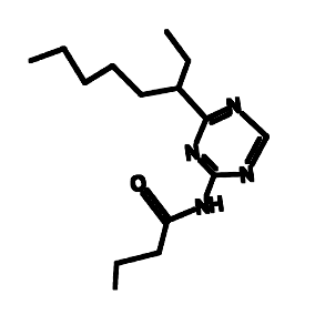 CCCCCC(CC)c1ncnc(NC(=O)CCC)n1